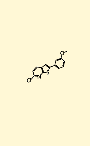 COc1cccc(-c2cc3ccc(Cl)nc3s2)c1